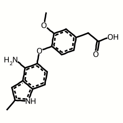 COc1cc(CC(=O)O)ccc1Oc1ccc2[nH]c(C)cc2c1N